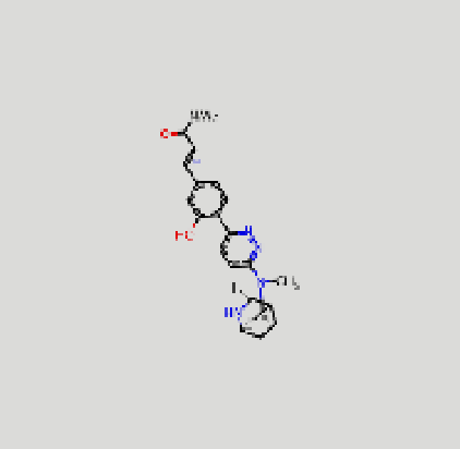 CNC(=O)/C=C/c1ccc(-c2ccc(N(C)[C@@H]3CC4CCC3CN4)nn2)c(O)c1